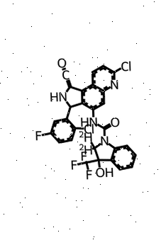 [2H]C1([2H])N(C(=O)Nc2cc3nc(Cl)ccc3c3c2C(c2cc(F)ccc2Cl)NC3=C=O)c2ccccc2C1(O)C(F)(F)F